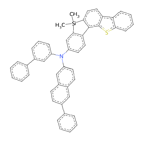 C[Si]1(C)c2cc(N(c3cccc(-c4ccccc4)c3)c3ccc4cc(-c5ccccc5)ccc4c3)ccc2-c2c1ccc1c2sc2ccccc21